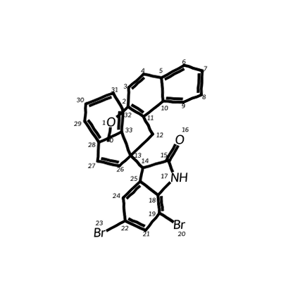 COc1ccc2ccccc2c1CC1(C2C(=O)Nc3c(Br)cc(Br)cc32)C=Cc2ccccc21